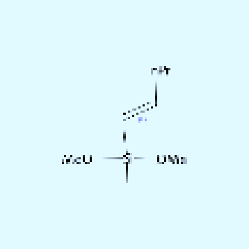 CCC/C=C/[Si](C)(OC)OC